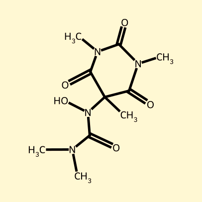 CN(C)C(=O)N(O)C1(C)C(=O)N(C)C(=O)N(C)C1=O